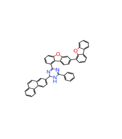 c1ccc(C2=NC(c3cccc4oc5cc(-c6cccc7c6oc6ccccc67)ccc5c34)=NC(c3ccc4c(ccc5ccccc54)c3)N2)cc1